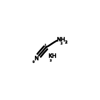 N#CN.[KH]